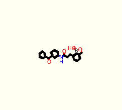 O=C(CCc1cccc2c1B(O)OC2)Nc1cccc(C(=O)c2ccccc2)c1